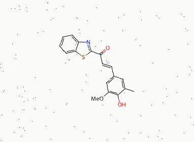 COc1cc(/C=C/C(=O)c2nc3ccccc3s2)cc(C)c1O